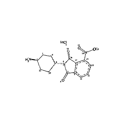 Cl.N[C@H]1CC[C@H](N2C(=O)c3cccc([N+](=O)[O-])c3C2=O)CC1